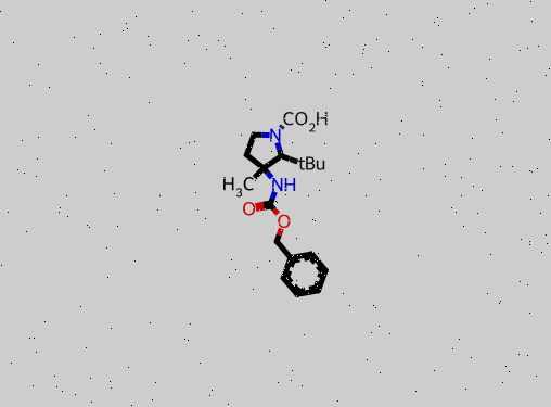 CC(C)(C)C1N(C(=O)O)CCC1(C)NC(=O)OCc1ccccc1